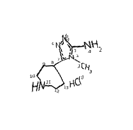 Cl.Cn1c(N)nnc1C1CCNCC1